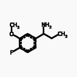 CCC(N)c1ccc(F)c(OC)c1